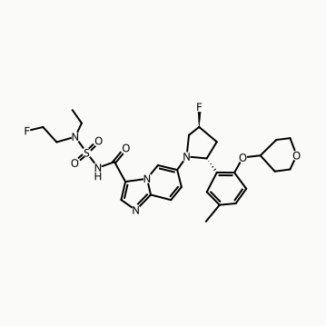 CCN(CCF)S(=O)(=O)NC(=O)c1cnc2ccc(N3C[C@@H](F)C[C@@H]3c3cc(C)ccc3OC3CCOCC3)cn12